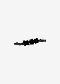 CCCCCCCCC[C@H]1CC[C@H](c2ccc(-c3cc4sc(CCCCCCC)cc4s3)cc2)CC1